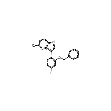 Oc1ccc2ncc(-c3ccc(F)cc3OCc3ccccc3)n2n1